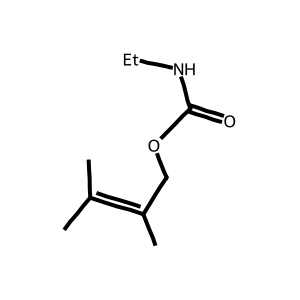 CCNC(=O)OCC(C)=C(C)C